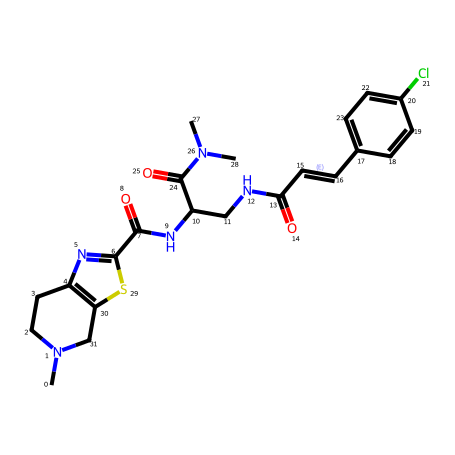 CN1CCc2nc(C(=O)NC(CNC(=O)/C=C/c3ccc(Cl)cc3)C(=O)N(C)C)sc2C1